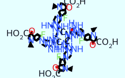 N=C(NC(=N)N1CCN(c2cc3c(cc2F)c(=O)c(C(=O)O)cn3C2CC2)CC1)N1CCN(C(=N)NC(=N)N2CCN(c3cc4c(cc3F)c(=O)c(C(=O)O)cn4C3CC3)CC2)CCN(C(=N)NC(=N)N2CCN(c3cc4c(cc3F)c(=O)c(C(=O)O)cn4C3CC3)CC2)CCN(C(=N)NC(=N)N2CCN(c3cc4c(cc3F)c(=O)c(C(=O)O)cn4C3CC3)CC2)CC1